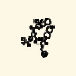 C[C@@H](OCC12CCC(CC1)OC2)[C@H](NC(=O)[C@@H]1CN(C(=O)c2cnn(Cc3ccccc3C(=O)O)c2)CC12CN(C(=O)C1(C(F)(F)F)CC1)C2)C(=O)N1CCC2(CCNCC2)CC1